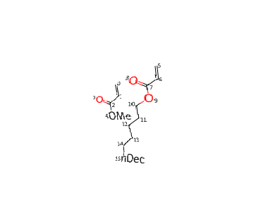 C=CC(=O)OC.C=CC(=O)OCCCCCCCCCCCCCCC